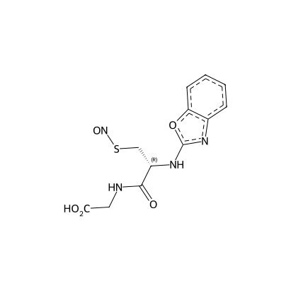 O=NSC[C@H](Nc1nc2ccccc2o1)C(=O)NCC(=O)O